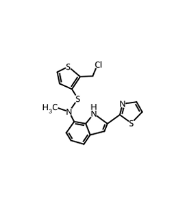 CN(Sc1ccsc1CCl)c1cccc2cc(-c3nccs3)[nH]c12